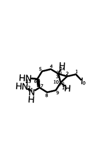 ICC1[C@H]2CCC3=C(CC[C@@H]12)NNN3